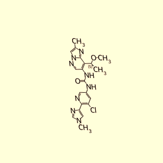 CO[C@@H](C)c1c(NC(=O)Nc2cnc(-c3cn(C)cn3)c(Cl)c2)cnn2cc(C)nc12